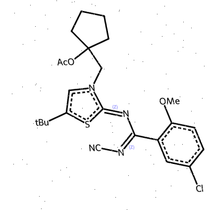 COc1ccc(Cl)cc1C(=N/C#N)/N=c1\sc(C(C)(C)C)cn1CC1(OC(C)=O)CCCC1